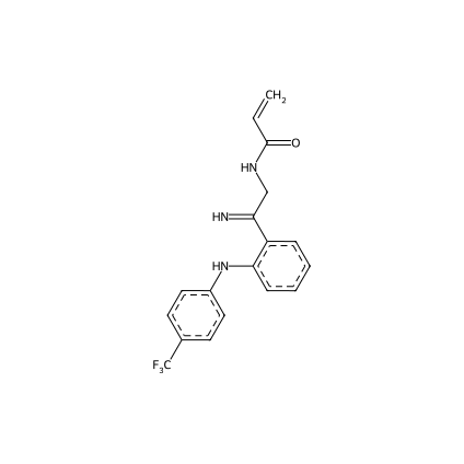 C=CC(=O)NCC(=N)c1ccccc1Nc1ccc(C(F)(F)F)cc1